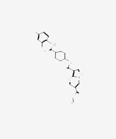 CCOC(=O)c1cnc2c(C(=O)NC3CCC(C(=O)Nc4ccc(F)cc4Cl)CC3)cnn2c1